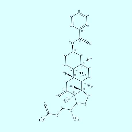 C[C@H](CCC(=O)O)[C@H]1CC[C@H]2[C@@H]3CC[C@@H]4C[C@H](OC(=O)c5ccccc5)CC[C@]4(C)[C@H]3CC(=O)[C@]12C